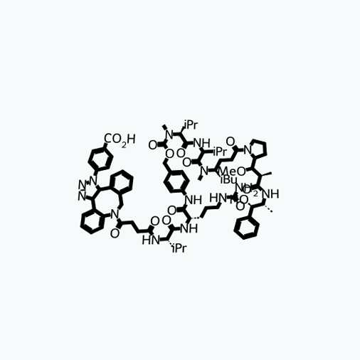 CC[C@H](C)C(CCC(=O)N1CCCC1C(OC)[C@@H](C)C(=O)N[C@H](C)[C@@H](O)c1ccccc1)N(C)C(=O)C(NC(=O)[C@H](C(C)C)N(C)C(=O)OCc1ccc(NC(=O)[C@H](CCCNC(N)=O)NC(=O)[C@@H](NC(=O)CCC(=O)N2Cc3ccccc3C3C(N=NN3c3ccc(C(=O)O)cc3)c3ccccc32)C(C)C)cc1)C(C)C